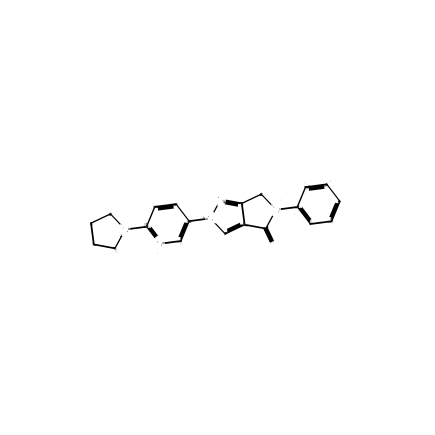 O=C1c2cn(-c3ccc(N4CCCC4)nc3)nc2CN1c1ccccc1